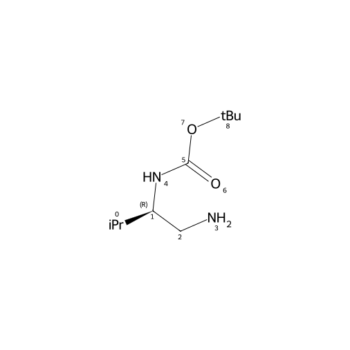 CC(C)[C@H](CN)NC(=O)OC(C)(C)C